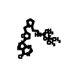 CC(C)(C)OC(=O)NCCC1CCCN1CC1CCC(n2cnc3c(Cl)ncnc32)O1